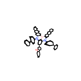 c1ccc(-c2ccc(N3c4cc5cc6ccccc6cc5cc4B4c5cc6cc7ccccc7cc6cc5N(c5ccc(-c6ccccc6)cc5)c5cc(-c6ccc7c(c6)oc6ccccc67)cc3c54)cc2)cc1